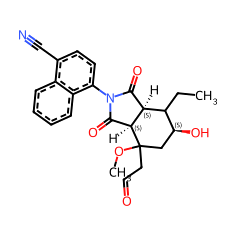 CCC1[C@@H](O)CC(CC=O)(OC)[C@H]2C(=O)N(c3ccc(C#N)c4ccccc34)C(=O)[C@@H]12